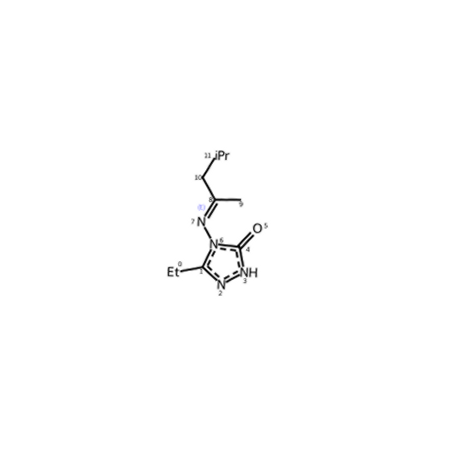 CCc1n[nH]c(=O)n1/N=C(\C)CC(C)C